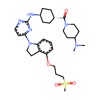 CN(C)C1CCN(C(=O)[C@H]2CC[C@H](Nc3nccc(N4CCc5c(OCCCS(C)(=O)=O)cccc54)n3)CC2)CC1